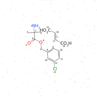 CC(C)(N)C(=O)OCc1cccc(Cl)c1.O=C(O)/C=C/C(=O)O